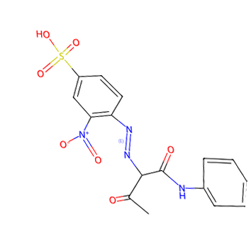 CC(=O)C(/N=N/c1ccc(S(=O)(=O)O)cc1[N+](=O)[O-])C(=O)Nc1ccccc1